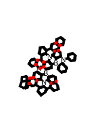 c1ccc(-c2cc3c4c(c2)N(c2c(-c5ccccc5)cccc2-c2ccccc2)c2cc5c(cc2B4c2ccccc2N3c2ccccc2)B2c3ccccc3N(c3c(-c4ccccc4)cccc3-c3ccccc3)c3cc(N4C6CC7CC(C6)CC4C7)cc(c32)N5c2ccccc2)cc1